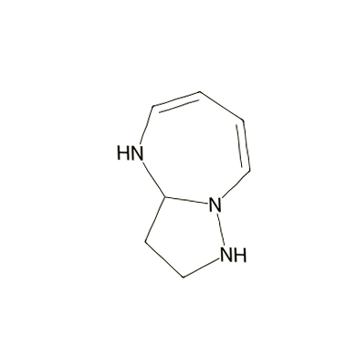 C1=CNC2CCNN2C=C1